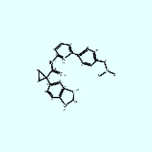 CN(C)Cc1ccc(-c2cccc(NC(=O)C3(c4ccc5c(c4)OCO5)CC3)n2)cc1